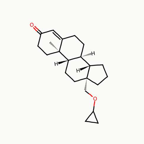 C[C@]12CCC(=O)C=C1CC[C@H]1[C@@H]3CCC[C@@]3(COC3CC3)CC[C@@H]12